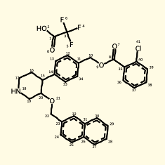 O=C(O)C(F)(F)F.O=C(OCc1ccc(C2CCNCC2OCc2ccc3ccccc3c2)cc1)c1ccccc1Cl